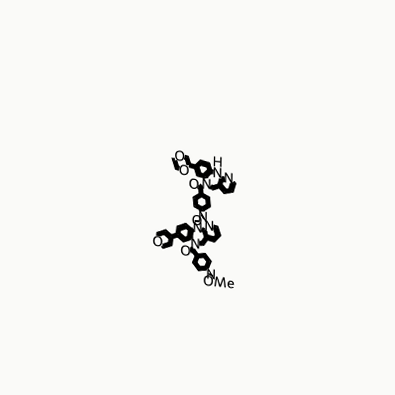 CON=C1CCC(C(=O)N2Cc3cccnc3N(ON=C3CCC(C(=O)N4Cc5cccnc5Nc5ccc(C6COCCO6)cc54)CC3)c3ccc(C4=CCOCC4)cc32)CC1